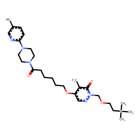 C[Si](C)(C)CCOCn1ncc(OCCCCCC(=O)N2CCN(c3ccc(C#N)cn3)CC2)c(C(F)(F)F)c1=O